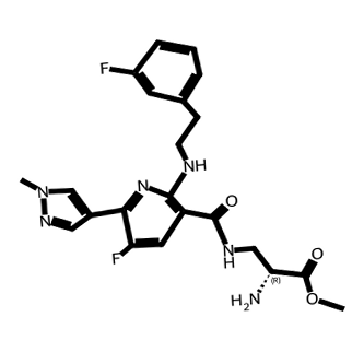 COC(=O)[C@H](N)CNC(=O)c1cc(F)c(-c2cnn(C)c2)nc1NCCc1cccc(F)c1